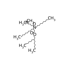 CCCCCCCCCCN(C(=O)CCCN(C)C)C(CCCCCCCCC)CC(=O)OCCC(CCCCCC)CCCCCC